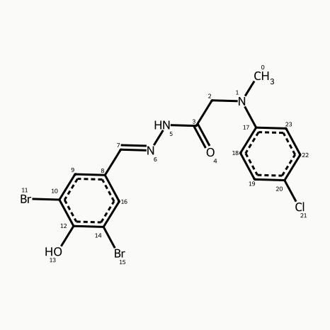 CN(CC(=O)NN=Cc1cc(Br)c(O)c(Br)c1)c1ccc(Cl)cc1